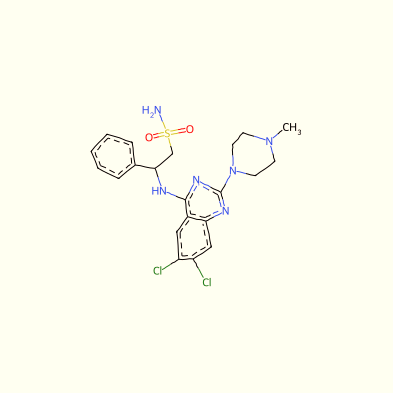 CN1CCN(c2nc(NC(CS(N)(=O)=O)c3ccccc3)c3cc(Cl)c(Cl)cc3n2)CC1